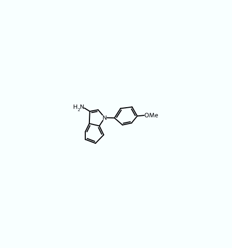 COc1ccc(-n2cc(N)c3ccccc32)cc1